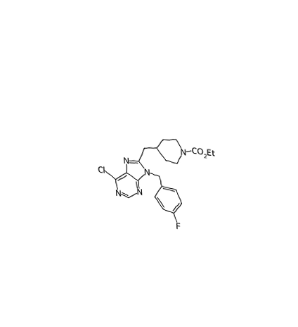 CCOC(=O)N1CCC(Cc2nc3c(Cl)ncnc3n2Cc2ccc(F)cc2)CC1